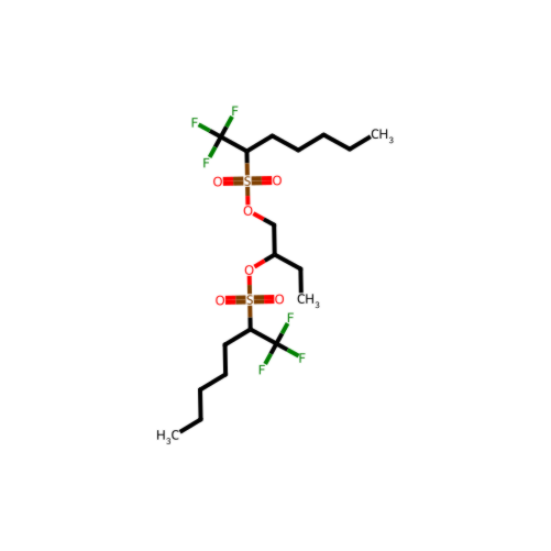 CCCCCC(C(F)(F)F)S(=O)(=O)OCC(CC)OS(=O)(=O)C(CCCCC)C(F)(F)F